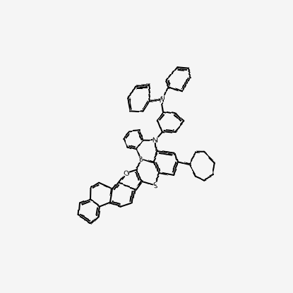 c1ccc(N(c2ccccc2)c2cccc(N3c4ccccc4B4c5oc6c(ccc7c8ccccc8ccc76)c5Sc5cc(C6CCCCCC6)cc3c54)c2)cc1